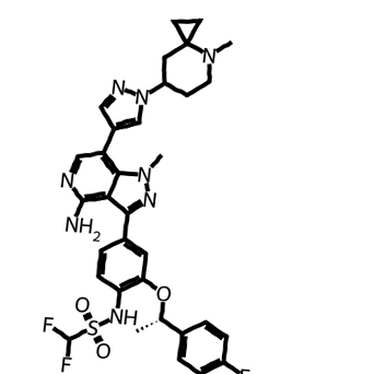 C[C@H](Oc1cc(-c2nn(C)c3c(-c4cnn(C5CCN(C)C6(CC6)C5)c4)cnc(N)c23)ccc1NS(=O)(=O)C(F)F)c1ccc(F)cc1